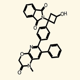 CN1C(=O)COc2nc(-c3ccc(C4(N5C(=O)c6ccccc6C5=O)CC(O)C4)cc3)c(-c3ccccc3)cc21